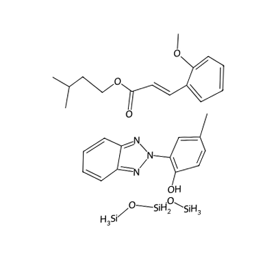 COc1ccccc1/C=C/C(=O)OCCC(C)C.Cc1ccc(O)c(-n2nc3ccccc3n2)c1.[SiH3]O[SiH2]O[SiH3]